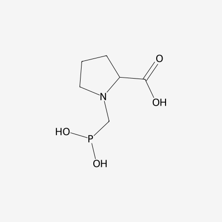 O=C(O)C1CCCN1CP(O)O